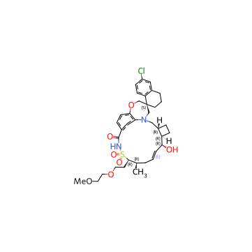 COCCOCC[C@@H]1[C@H](C)C/C=C/[C@H](O)[C@@H]2CC[C@H]2CN2C[C@@]3(CCCc4cc(Cl)ccc43)COc3ccc(cc32)C(=O)NS1(=O)=O